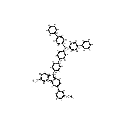 Cc1cccc(-c2ccc3c(c2)c2cc(C)ccc2n3-c2ccc(-c3ccc(N(c4ccc(-c5ccccc5)cc4)c4ccc(-c5ccccc5)cc4)cc3)cc2)c1